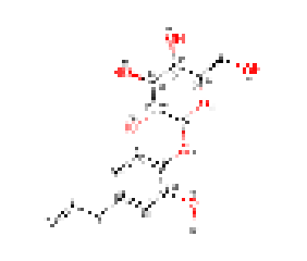 C=CCc1ccc(OC2O[C@H](CO)[C@@H](O)[C@H](O)[C@H]2O)c(OC)c1